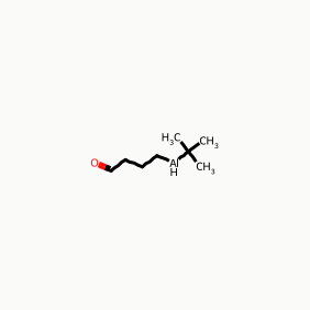 C[C](C)(C)[AlH][CH2]CCC=O